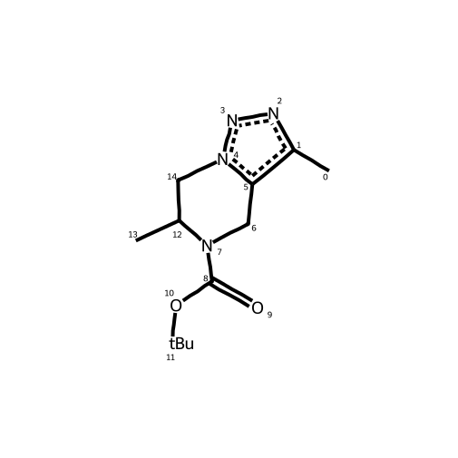 Cc1nnn2c1CN(C(=O)OC(C)(C)C)C(C)C2